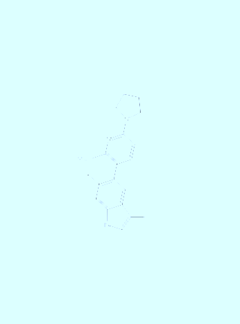 COc1nc(N2CCCC2)ccc1-c1cc2c(C(=O)O)c[nH]c2cc1Cl